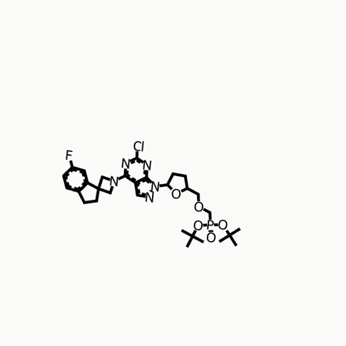 CC(C)(C)OP(=O)(COCC1CCC(n2ncc3c(N4CC5(CCc6ccc(F)cc65)C4)nc(Cl)nc32)O1)OC(C)(C)C